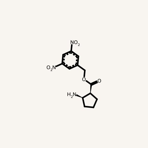 N[C@@H]1CCC[C@@H]1C(=O)OCc1cc([N+](=O)[O-])cc([N+](=O)[O-])c1